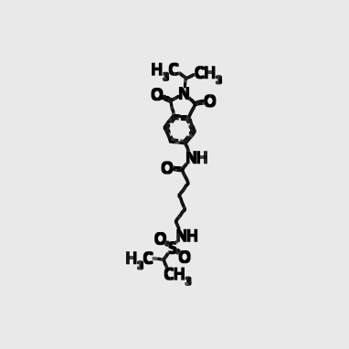 CC(C)N1C(=O)c2ccc(NC(=O)CCCCNS(=O)(=O)C(C)C)cc2C1=O